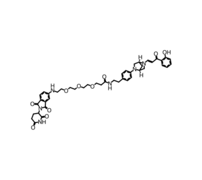 O=C(CCOCCOCCOCCNc1ccc2c(c1)C(=O)N(C1CCC(=O)NC1=O)C2=O)NCCc1ccc(N2C[C@H]3C[C@@H]2CN3/C=C/C(=O)c2ccccc2O)cc1